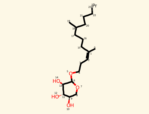 CC(=CCCOC1OC[C@@H](O)[C@H](O)[C@H]1O)CCCC(C)CCCC(C)C